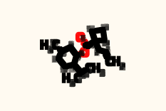 C=CCC1(C(=O)OC2CC(C)CCC2C(C)C)CCC1